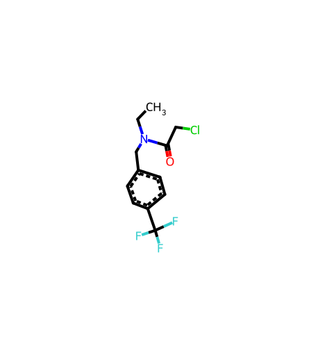 CCN(Cc1ccc(C(F)(F)F)cc1)C(=O)CCl